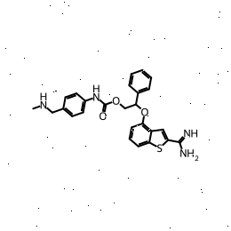 CNCc1ccc(NC(=O)OCC(Oc2cccc3sc(C(=N)N)cc23)c2ccccc2)cc1